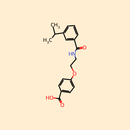 CC(C)c1cccc(C(=O)NCCOc2ccc(C(=O)O)cc2)c1